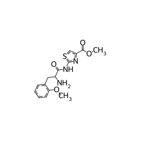 COC(=O)c1csc(NC(=O)C(N)Cc2ccccc2OC)n1